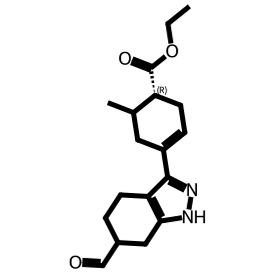 CCOC(=O)[C@@H]1CC=C(c2n[nH]c3c2CCC(C=O)C3)CC1C